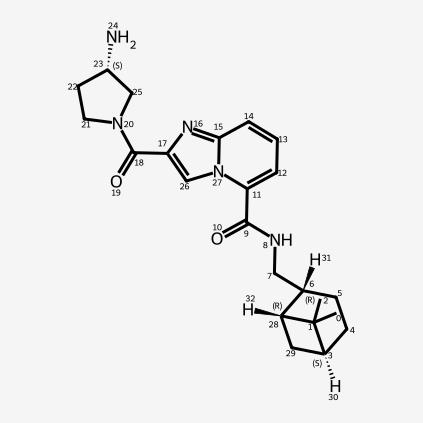 CC1(C)[C@H]2CC[C@@H](CNC(=O)c3cccc4nc(C(=O)N5CC[C@H](N)C5)cn34)[C@H]1C2